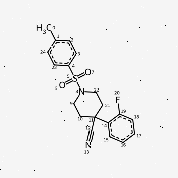 Cc1ccc(S(=O)(=O)N2CCC(C#N)(c3ccccc3F)CC2)cc1